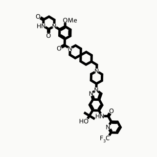 COc1ccc(C(=O)N2CCC3(CCC(CN4CCC(n5cc6cc(NC(=O)c7cccc(C(F)(F)F)n7)c(C(C)(C)O)cc6n5)CC4)CC3)CC2)cc1N1CCC(=O)NC1=O